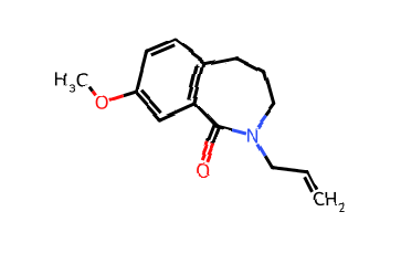 C=CCN1CCCc2ccc(OC)cc2C1=O